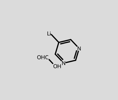 O=CO.[Li][c]1cncnc1